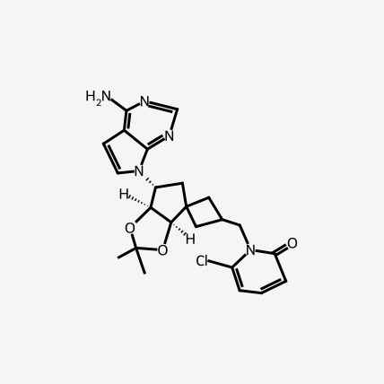 CC1(C)O[C@H]2[C@H](n3ccc4c(N)ncnc43)CC3(CC(Cn4c(Cl)cccc4=O)C3)[C@H]2O1